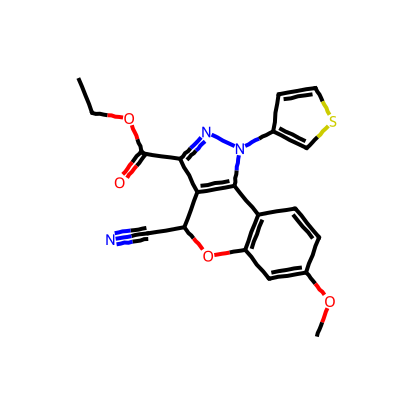 CCOC(=O)c1nn(-c2ccsc2)c2c1C(C#N)Oc1cc(OC)ccc1-2